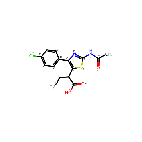 CCC(C(=O)O)c1sc(NC(C)=O)nc1-c1ccc(Cl)cc1